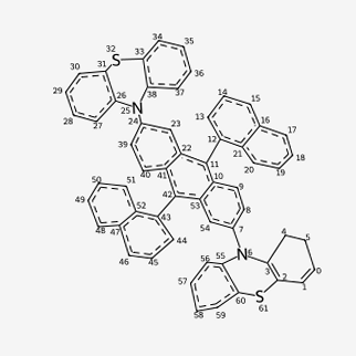 C1=CC2=C(CC1)N(c1ccc3c(-c4cccc5ccccc45)c4cc(N5c6ccccc6Sc6ccccc65)ccc4c(-c4cccc5ccccc45)c3c1)c1ccccc1S2